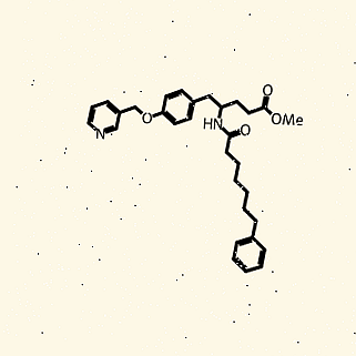 COC(=O)CCC(Cc1ccc(OCc2cccnc2)cc1)NC(=O)CCCCCCc1ccccc1